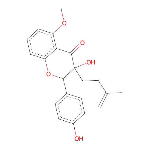 C=C(C)CCC1(O)C(=O)c2c(OC)cccc2OC1c1ccc(O)cc1